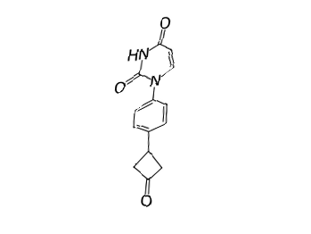 O=C1CC(c2ccc(-n3ccc(=O)[nH]c3=O)cc2)C1